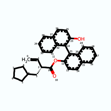 C=C[C@@H](CC1CCCC1)C(=O)Oc1ccc2ccccc2c1-c1c(O)ccc2ccccc12